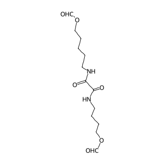 O=COCCCCCNC(=O)C(=O)NCCCCOC=O